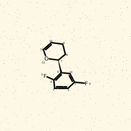 Fc1ccc(F)c([C@@H]2CCC=CO2)c1